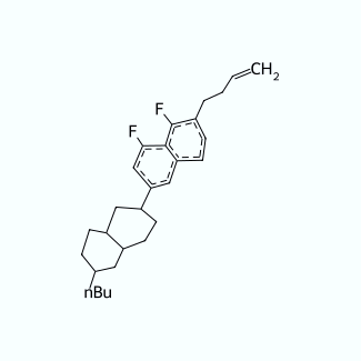 C=CCCc1ccc2cc(C3CCC4CC(CCCC)CCC4C3)cc(F)c2c1F